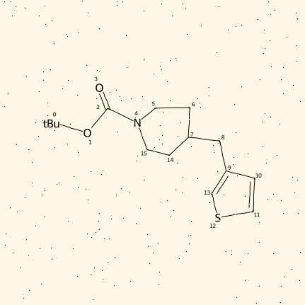 CC(C)(C)OC(=O)N1CCC(Cc2ccsc2)CC1